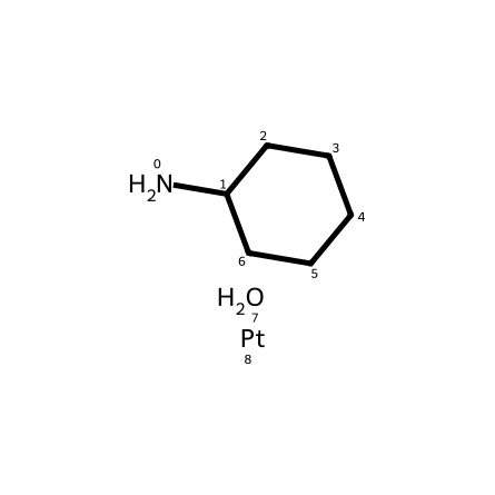 NC1CCCCC1.O.[Pt]